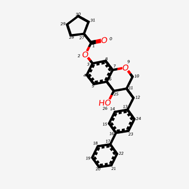 O=C(Oc1ccc2c(c1)OCC(Cc1ccc(-c3ccccc3)cc1)C2O)C1CCCC1